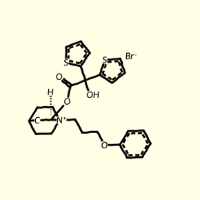 O=C(O[C@@H]1CC2CC[N+]1(CCCOc1ccccc1)CC2)C(O)(c1cccs1)c1cccs1.[Br-]